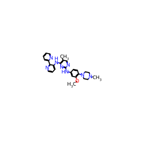 COc1cc(Nc2ncc(C)c(Nc3cccnc3-c3ccccn3)n2)ccc1N1CCN(C)CC1